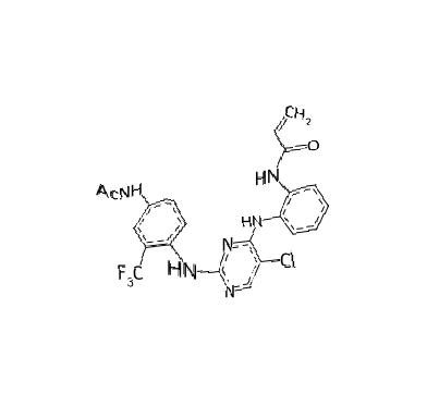 C=CC(=O)Nc1ccccc1Nc1nc(Nc2ccc(NC(C)=O)cc2C(F)(F)F)ncc1Cl